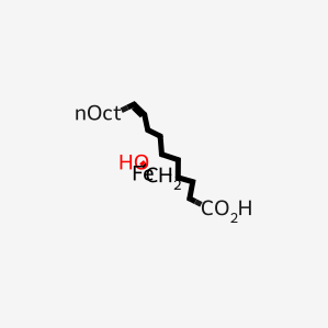 CCCCCCCC/C=C\CCCCCCCC(=O)O.[CH2]O.[Fe]